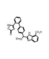 CCOC(c1ccc(-c2ccccc2-c2nc(=O)o[nH]2)cc1)c1nc2cccc(C(=O)O)c2[nH]1